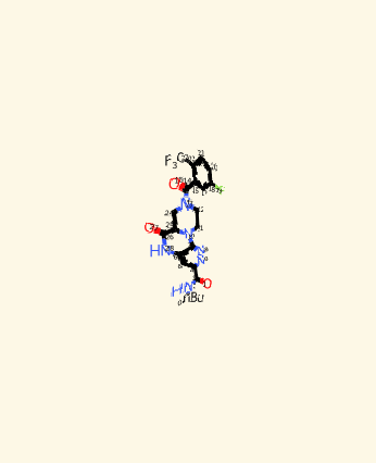 CCCCNC(=O)c1cc2c(nn1)N1CCN(C(=O)c3cc(F)ccc3C(F)(F)F)CC1C(=O)N2